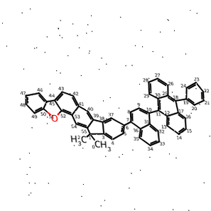 CC1(C)c2ccc(-c3ccc(-c4c5ccccc5c(-c5ccccc5)c5ccccc45)c4ccccc34)cc2-c2cc3ccc4c5ccccc5oc4c3cc21